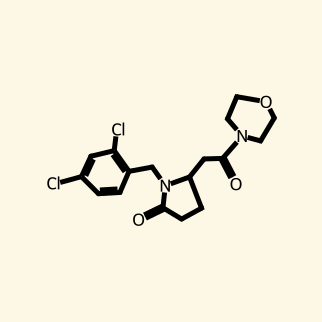 O=C(CC1CCC(=O)N1Cc1ccc(Cl)cc1Cl)N1CCOCC1